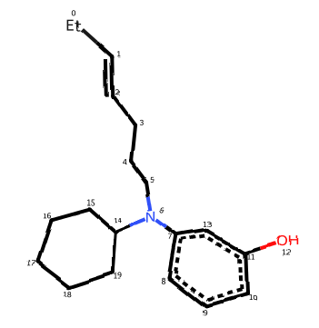 CCC=CCCCN(c1cccc(O)c1)C1CCCCC1